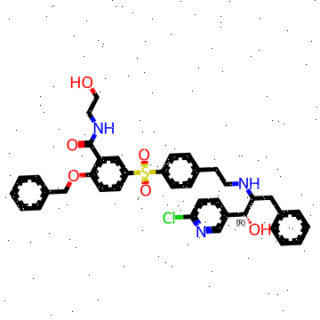 O=C(NCCO)c1cc(S(=O)(=O)c2ccc(CCNC(Cc3ccccc3)[C@H](O)c3ccc(Cl)nc3)cc2)ccc1OCc1ccccc1